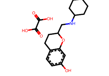 O=C(O)C(=O)O.Oc1ccc2c(c1)OC(CNC1CCCCC1)CC2